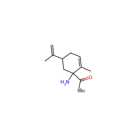 C=C(C)C1CC=C(C)C(N)(C(=O)C(C)(C)C)C1